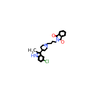 Cc1[nH]c2ccc(Cl)cc2c1C1=CCN(CCCCN2C(=O)c3ccccc3C2=O)CC1